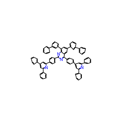 c1ccc(-c2cccc(-c3cc(-c4cccc(-c5ccccc5)c4)c4nc(-c5ccc(-c6cc(-c7ccccc7)cc(-c7ccccc7)n6)cc5)nc(-c5ccc(-c6cc(-c7ccccc7)nc(-c7ccccc7)c6)cc5)c4c3)c2)cc1